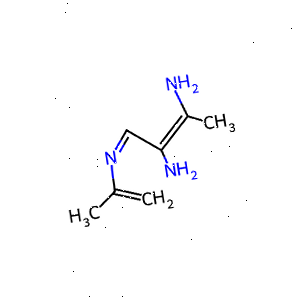 C=C(C)/N=C\C(N)=C(\C)N